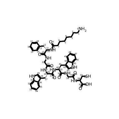 NCCCCCCCC(=O)N[C@@H](Cc1ccccc1)C(=O)NCC(=O)N[C@@H](Cc1c[nH]c2ccccc12)C(=O)N[C@@H](Cc1c[nH]c2ccccc12)C(=O)NCC(=O)NC(CS)C(=O)O